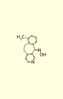 Cc1cccc2c1CCc1ccncc1/C2=N\O